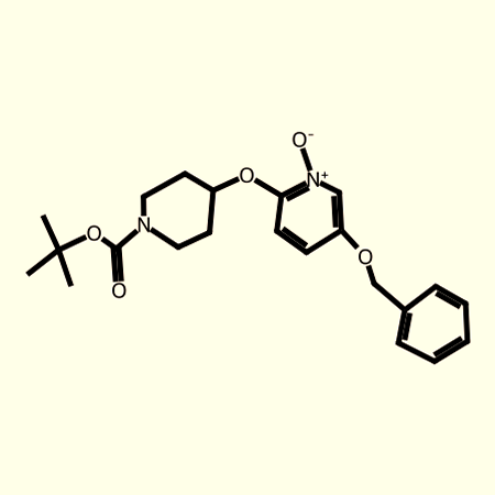 CC(C)(C)OC(=O)N1CCC(Oc2ccc(OCc3ccccc3)c[n+]2[O-])CC1